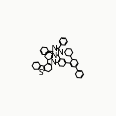 C1=CCCC(C2=CCC(C3CCCCC3)C(C3=CC(c4nc(C5=CC=CCC5)nc(-c5ccccc5)n4)=C(N4C5=CC=CCC5C5=C4CCc4sc6c(c45)C=CCC6)CC3)=C2)=C1